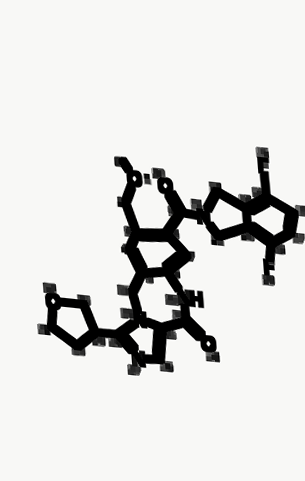 COCc1cc2c(cc1C(=O)N1Cc3c(F)ccc(F)c3C1)NC(=O)c1cnc(C3CCOC3)n1C2